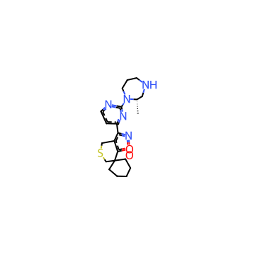 C[C@H]1CNCCCN1c1nccc(-c2noc3c2CSCC32CCCCC2=O)n1